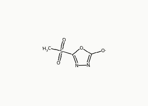 CS(=O)(=O)c1nnc([O])o1